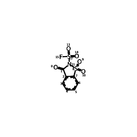 O=C1c2ccccc2S(=O)(=O)N1S(=O)(=O)F